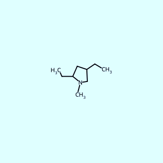 CCC1CC(CC)N(C)C1